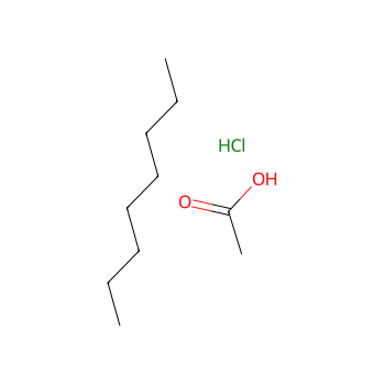 CC(=O)O.CCCCCCCC.Cl